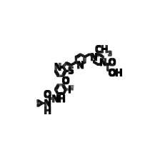 C[C@@H]1CN(C(=O)CO)CCN1Cc1ccc(-c2cc3nccc(Oc4ccc(NC(=O)NC5CC5)cc4F)c3s2)nc1